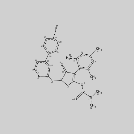 Cc1cc(C)c(C2=C(OC(=O)N(C)C)CC(Cc3cc(-c4ccc(F)cc4)ccn3)C2=O)c(C)c1